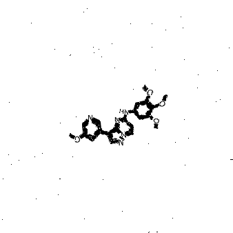 COc1cncc(-c2cnn3ccc(Nc4cc(OC)c(OC)c(OC)c4)nc23)c1